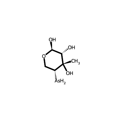 C[C@@]1(O)[C@H]([AsH2])CO[C@@H](O)[C@@H]1O